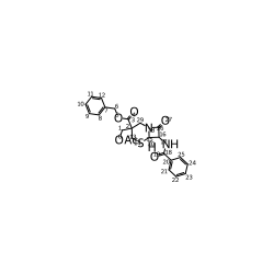 CC(=O)OCC1(C(=O)OCc2ccccc2)CS[C@@H]2C(NC(=O)c3ccccc3)C(=O)N2C1